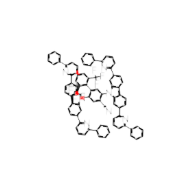 N#Cc1cc(-n2c3cc(-c4cccc(-c5ccccc5)n4)ccc3c3ccc(-c4cccc(-c5ccccc5)n4)cc32)c(-c2c(C(F)(F)F)cccc2C(F)(F)F)cc1-n1c2cc(-c3cccc(-c4ccccc4)n3)ccc2c2ccc(-c3cccc(-c4ccccc4)n3)cc21